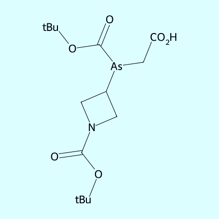 CC(C)(C)OC(=O)N1CC([As](CC(=O)O)C(=O)OC(C)(C)C)C1